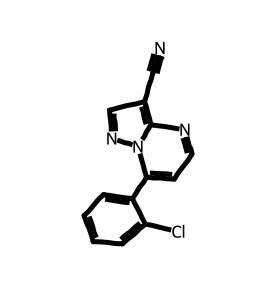 N#Cc1cnn2c(-c3ccccc3Cl)ccnc12